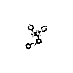 c1ccc(COc2cccc(-c3nc(N4CCOCC4)nc4c3ncn4C3CCOCC3)c2)cc1